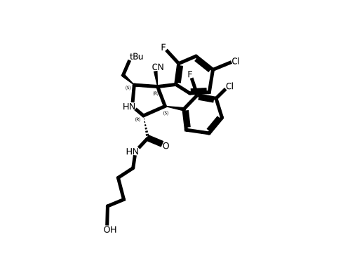 CC(C)(C)C[C@@H]1N[C@@H](C(=O)NCCCCO)[C@H](c2cccc(Cl)c2F)[C@@]1(C#N)c1ccc(Cl)cc1F